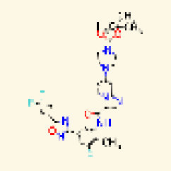 Cc1c(F)cc(-c2noc(C3CC(F)(F)C3)n2)cc1NC(=O)c1cnc2cc(N3CCN(C(=O)OC(C)(C)C)CC3)ccn12